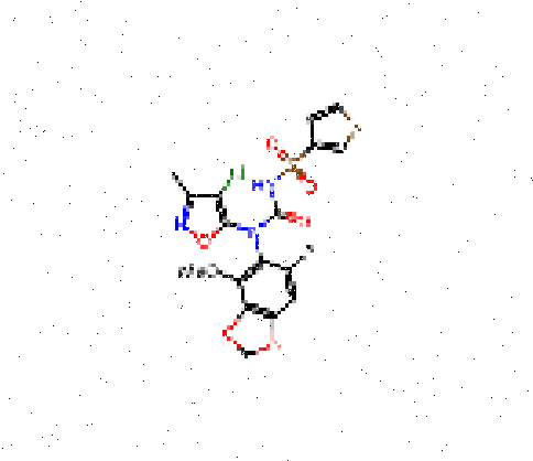 COc1c2c(cc(C(C)=O)c1N(C(=O)NS(=O)(=O)c1ccsc1)c1onc(C)c1Cl)OCO2